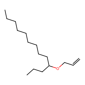 C=CCOC(CCC)CCCCCCCCC